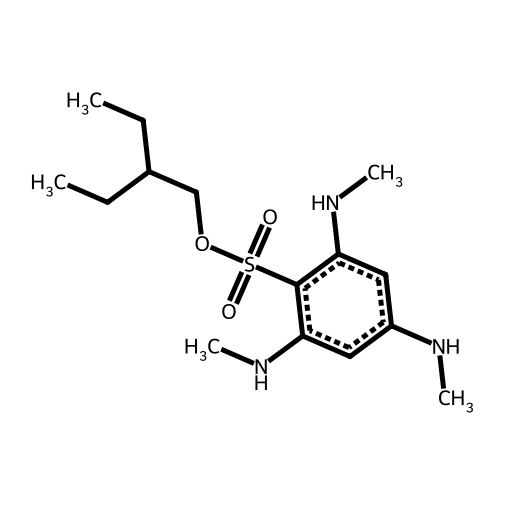 CCC(CC)COS(=O)(=O)c1c(NC)cc(NC)cc1NC